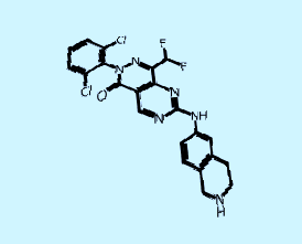 O=c1c2cnc(Nc3ccc4c(c3)CCNC4)nc2c(C(F)F)nn1-c1c(Cl)cccc1Cl